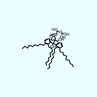 CCCCCCCCCc1cccc(C(O)(c2cccc(CCCCCCCCC)c2CCCCCCCCC)C(CO)(CO)CO)c1CCCCCCCCC.OP(O)OP(O)O